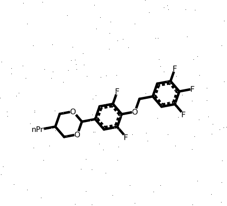 CCCC1COC(c2cc(F)c(OCc3cc(F)c(F)c(F)c3)c(F)c2)OC1